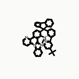 CC(C)(C)c1cc[n+]2c(c1)-c1cccc3c1[N+]21c2c(ccc4c5ncccc5n5c6ccccc6[n+]1c5c24)C31c2ccccc2-c2ccccc21